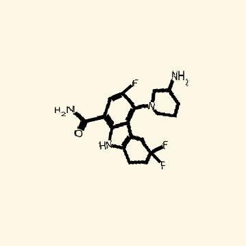 NC(=O)c1cc(F)c(N2CCCC(N)C2)c2c3c([nH]c12)CCC(F)(F)C3